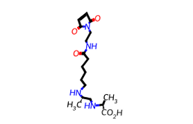 C[C@H](NC[C@H](C)NCCCCCC(=O)NCCN1C(=O)C=CC1=O)C(=O)O